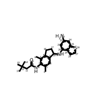 Cc1cc2c(c(C)c1NC(=O)CC(C)(C)C)CCC2Nc1cc(N)cc2sccc12